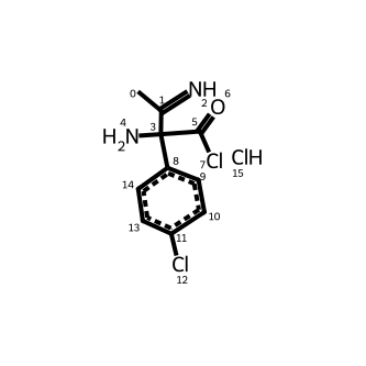 CC(=N)C(N)(C(=O)Cl)c1ccc(Cl)cc1.Cl